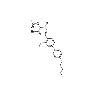 CCCCCc1ccc(-c2ccc(-c3cc(Br)c(O[SiH](C)C)c(Br)c3)c(CC)c2)cc1